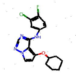 Fc1ccc(Nc2ncnn3ccc(OC4CCCCC4)c23)cc1Cl